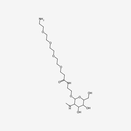 CNC1C(OCCNC(=O)CCOCCOCCOCCOCCN)OC(CO)C(O)C1O